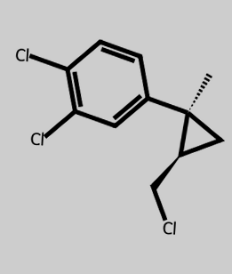 C[C@]1(c2ccc(Cl)c(Cl)c2)C[C@H]1CCl